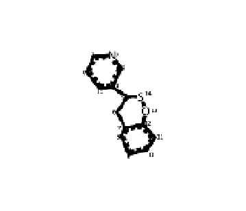 c1cncc(C2Cc3ccccc3OS2)c1